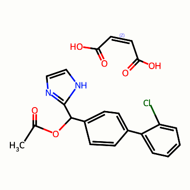 CC(=O)OC(c1ccc(-c2ccccc2Cl)cc1)c1ncc[nH]1.O=C(O)/C=C\C(=O)O